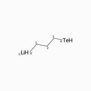 CCCC[TeH].[LiH]